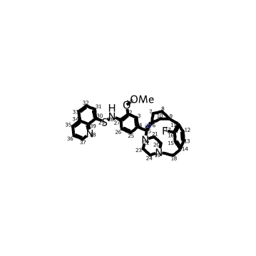 COOc1cc(/C2=C3\CCC(C3)c3ccc(cc3F)CN3CCN2CC3)ccc1NSc1cccc2cccnc12